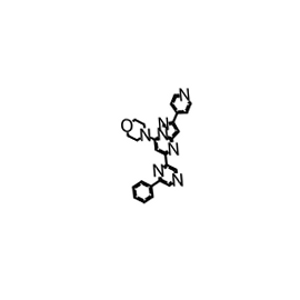 c1ccc(-c2cncc(-c3cc(N4CCOCC4)n4nc(-c5ccncc5)cc4n3)n2)cc1